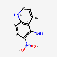 Nc1c([N+](=O)[O-])ccc2c1C=CCN2